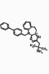 CC(C)(N)CC(=O)N[C@@H]1CCc2ccccc2N(Cc2ccc(-c3ccccc3)cc2)C1=O